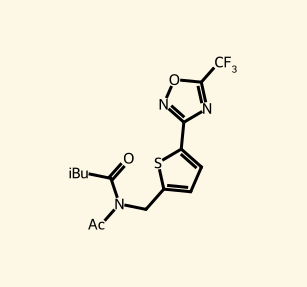 CCC(C)C(=O)N(Cc1ccc(-c2noc(C(F)(F)F)n2)s1)C(C)=O